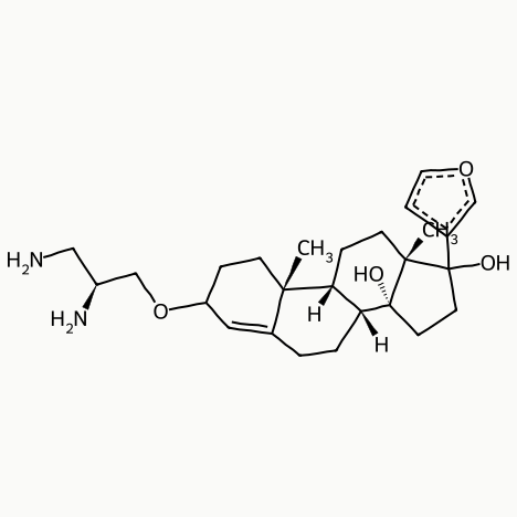 C[C@]12CCC(OC[C@@H](N)CN)C=C1CC[C@@H]1[C@H]2CC[C@]2(C)C(O)(c3ccoc3)CC[C@@]12O